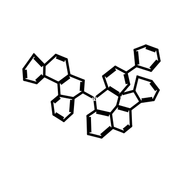 C1=CCC2Oc3c(ccc4cccc(N(c5ccc(-c6ccccc6)cc5)c5cc6ccc7ccccc7c6c6ccccc56)c34)C2=C1